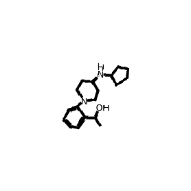 CC(O)c1ccccc1N1CCC(NC2CCCC2)CC1